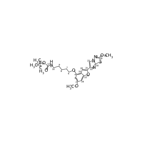 COc1cc(OCCCCCNC(=O)OC(C)(C)C)c2cc(-c3cn4nc(OC)sc4n3)oc2c1